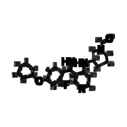 N=C(c1ccc(Oc2ccccc2)cc1F)c1cnccc1NC1CCCN(C=O)C1